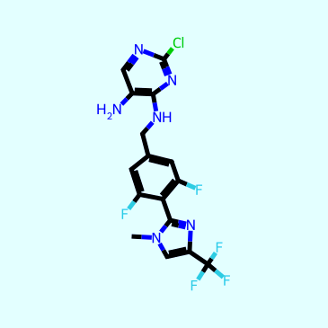 Cn1cc(C(F)(F)F)nc1-c1c(F)cc(CNc2nc(Cl)ncc2N)cc1F